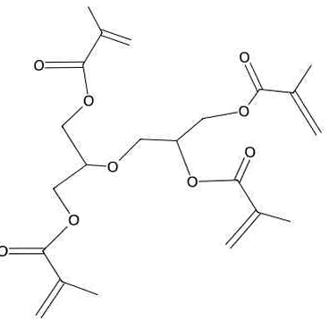 C=C(C)C(=O)OCC(COC(=O)C(=C)C)OCC(COC(=O)C(=C)C)OC(=O)C(=C)C